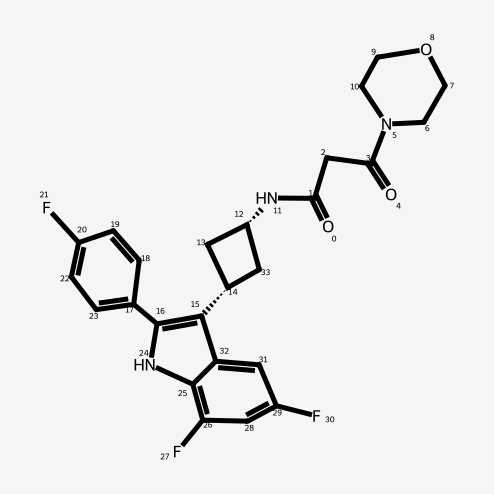 O=C(CC(=O)N1CCOCC1)N[C@H]1C[C@@H](c2c(-c3ccc(F)cc3)[nH]c3c(F)cc(F)cc32)C1